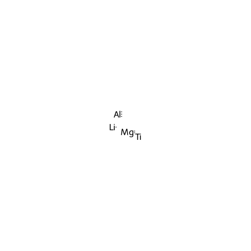 [Al].[Li].[Mg].[Ti]